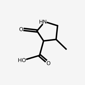 CC1CNC(=O)C1C(=O)O